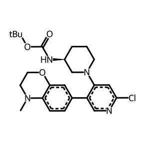 CN1CCOc2cc(-c3cnc(Cl)cc3N3CCC[C@H](NC(=O)OC(C)(C)C)C3)ccc21